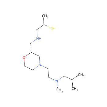 CC(C)CN(C)CCN1CCO[C@H](CNCC(C)S)C1